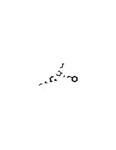 CCNC(=O)Nc1ccn([C@@H]2O[C@H](CCC(=O)O)C3O[C@H](/C=C/c4ccccc4)OC32)c(=O)n1